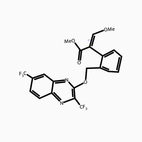 CO/C=C(/C(=O)OC)c1ccccc1COc1nc2cc(C(F)(F)F)ccc2nc1C(F)(F)F